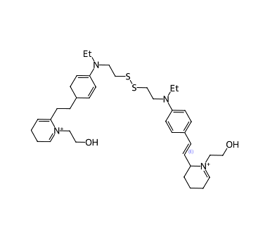 CCN(CCSSCCN(CC)c1ccc(/C=C/C2CCCC=[N+]2CCO)cc1)C1=CCC(CCC2=CCCC=[N+]2CCO)C=C1